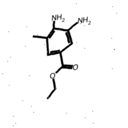 CCOC(=O)c1cc(C)c(N)c(N)c1